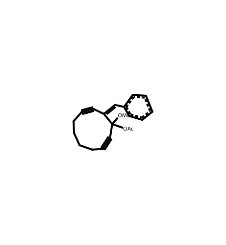 COC1(OC(C)=O)C#CCCCCC#CC1=Cc1ccccc1